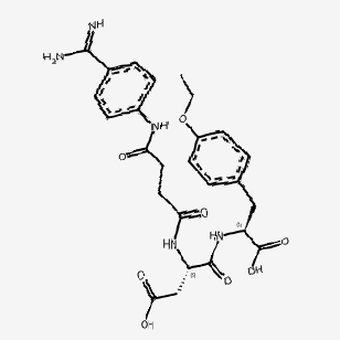 CCOc1ccc(C[C@H](NC(=O)[C@H](CC(=O)O)NC(=O)CCC(=O)Nc2ccc(C(=N)N)cc2)C(=O)O)cc1